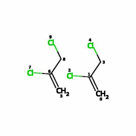 C=C(Cl)CCl.C=C(Cl)CCl